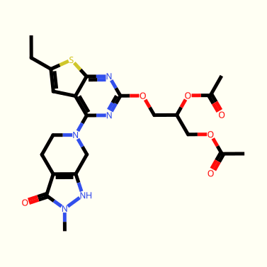 CCc1cc2c(N3CCc4c([nH]n(C)c4=O)C3)nc(OCC(COC(C)=O)OC(C)=O)nc2s1